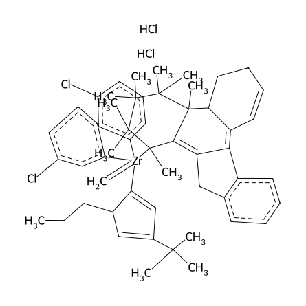 Cl.Cl.[CH2]=[Zr]([C]1=CC(C(C)(C)C)=CC1CCC)([c]1cccc(Cl)c1)([c]1cccc(Cl)c1)[C]1(C)C2=C3Cc4ccccc4C3=C3C=CCCC3C2(C)C(C)(C)C(C)(C)C1(C)C